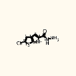 NNC(=O)c1cc2cc(Cl)sc2[nH]1